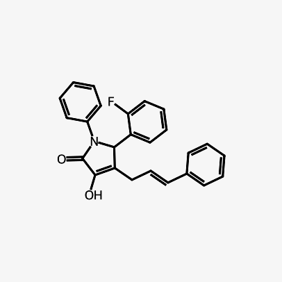 O=C1C(O)=C(CC=Cc2ccccc2)C(c2ccccc2F)N1c1ccccc1